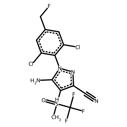 C[SH](=O)(c1c(C#N)nn(-c2c(Cl)cc(CF)cc2Cl)c1N)C(F)(F)F